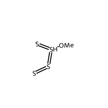 CO[SH](=S)=S=S